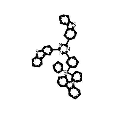 c1ccc([Si](c2ccccc2)(c2cccc(-c3nc(-c4ccc5sc6ccccc6c5c4)nc(-c4ccc5sc6ccccc6c5c4)n3)c2)c2cccc3c2sc2ccccc23)cc1